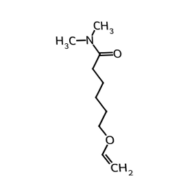 C=COCCCCCC(=O)N(C)C